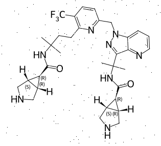 CC(C)(CCc1nc(Cn2nc(C(C)(C)NC(=O)[C@H]3[C@@H]4CNC[C@@H]43)c3ncccc32)ccc1C(F)(F)F)NC(=O)[C@H]1[C@@H]2CNC[C@@H]21